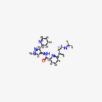 C=C(/C=C\N=C(C)C)c1cccc(C(=O)Nc2cn(C)nc2-c2ccccn2)n1